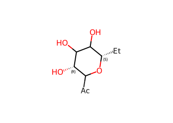 CC[C@@H]1OC(C(C)=O)[C@H](O)C(O)C1O